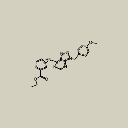 CCOC(=O)c1cccc(Nc2ncnc3c2nnn3Cc2ccc(OC)cc2)c1